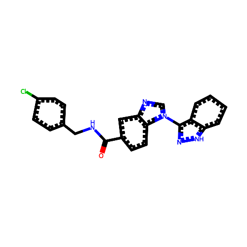 O=C(NCc1ccc(Cl)cc1)c1ccc2c(c1)ncn2-c1n[nH]c2ccccc12